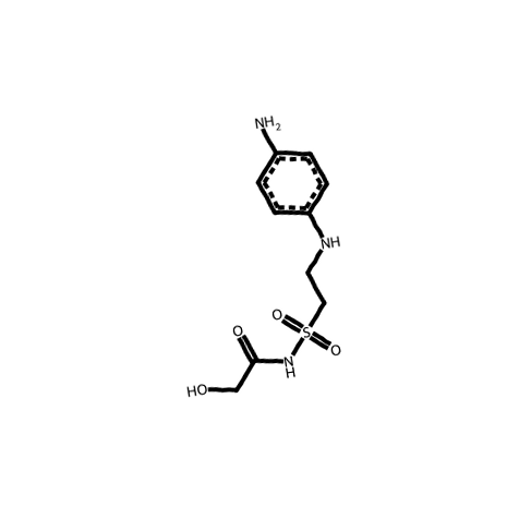 Nc1ccc(NCCS(=O)(=O)NC(=O)CO)cc1